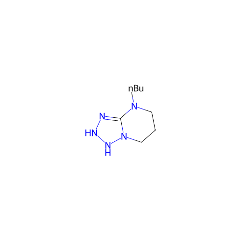 CCCCN1CCCN2NNN=C12